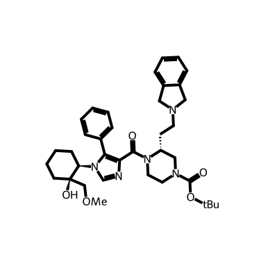 COC[C@]1(O)CCCC[C@H]1n1cnc(C(=O)N2CCN(C(=O)OC(C)(C)C)C[C@H]2CCN2Cc3ccccc3C2)c1-c1ccccc1